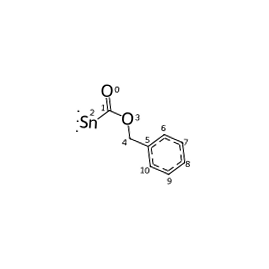 O=[C]([Sn])OCc1ccccc1